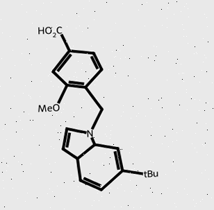 COc1cc(C(=O)O)ccc1CN1C=CC2C=CC(C(C)(C)C)=CC21